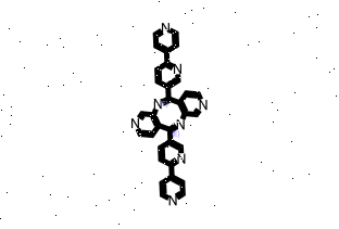 c1cc(-c2ccc(/C3=N/c4cnccc4/C(c4ccc(-c5ccncc5)nc4)=N\c4cnccc43)cn2)ccn1